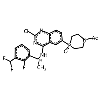 CC(=O)N1CCP(=O)(c2ccc3nc(Cl)nc(N[C@H](C)c4cccc(C(F)F)c4F)c3c2)CC1